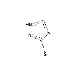 [S]c1nc[nH]n1